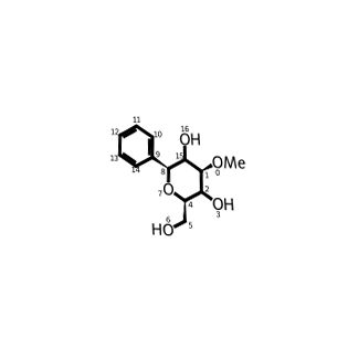 CO[C@H]1C(O)[C@@H](CO)O[C@@H](c2ccccc2)C1O